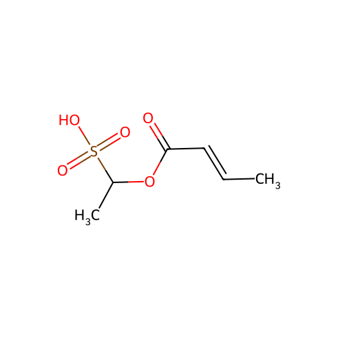 CC=CC(=O)OC(C)S(=O)(=O)O